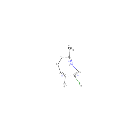 CCC1=C/CC/C(C)=N/C=C\1F